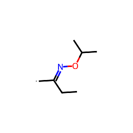 [CH2]C(CC)=NOC(C)C